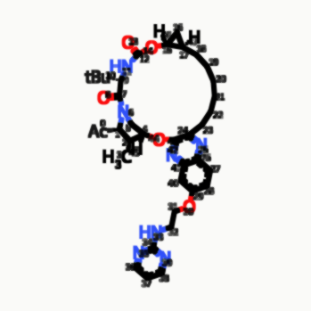 CC(=O)[C@@H]1[C@H](C)[C@@H]2CN1C(=O)[C@H](C(C)(C)C)NC(=O)O[C@@H]1C[C@H]1CCCCCCc1nc3ccc(OCCNc4ncccn4)cc3nc1O2